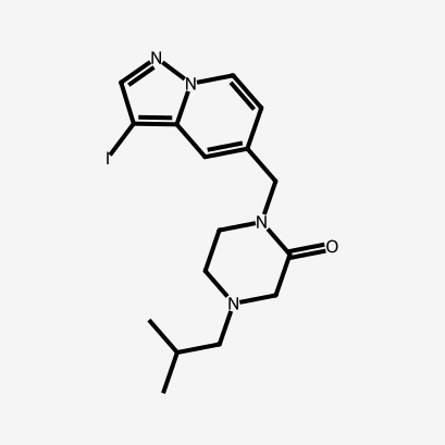 CC(C)CN1CCN(Cc2ccn3ncc(I)c3c2)C(=O)C1